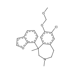 COCOc1cc2c(cc1Cl)CCN(C)CC2(C)c1cccc2ccoc12